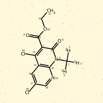 [2H]C([2H])([2H])n1c(=O)c(C(=O)OCC)c(Cl)c2cc(Cl)cnc21